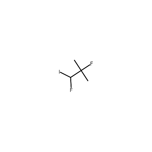 CC(C)(F)C(F)I